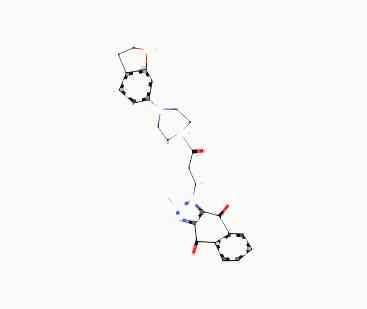 O=C1c2ccccc2C(=O)c2c1n[n+]([O-])n2CCC(=O)N1CCN(c2ccc3c(c2)OCC3)CC1